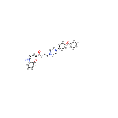 O=C(CCCN1CCN(c2ccc(Oc3ccccc3)cc2)CC1)C1CCNc2ccccc2O1